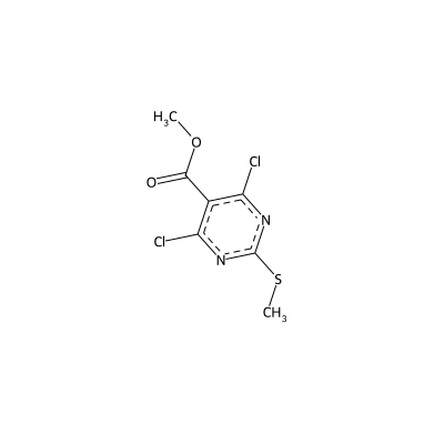 COC(=O)c1c(Cl)nc(SC)nc1Cl